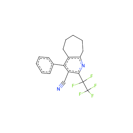 N#Cc1c(C(F)(F)C(F)(F)F)nc2c(c1-c1ccccc1)CCCCC2